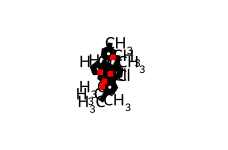 Cl.Cl.[CH2]=[Hf]([C]1=CC=CC1)([c]1ccc(C)cc1)([c]1ccc(C)cc1)[c]1c(C(C)(C)C)ccc2c1Cc1cc(C(C)(C)C)ccc1-2